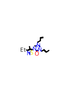 C=CCCN1CN(CC=CC)C(=O)N(c2snc(CC)c2C)C1